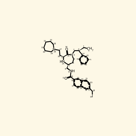 CC[C@H](CN1CC[C@@H](CNC(=O)c2ccc3cc(CI)ccc3c2)N[C@@H](CCN2CCCCCC2)C1=O)c1ccccc1